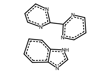 c1ccc2[nH]cnc2c1.c1cnc(-c2ncccn2)nc1